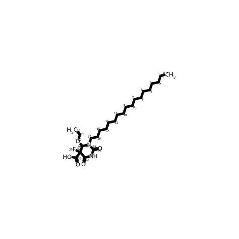 CCCCCCCCCCCCCCCCCCN1C(=O)NC(=O)C(F)(C(=O)O)C1OCC